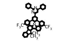 CC1(C)c2ccccc2-c2ccc3c(c21)c1ccccc1n3-c1c(-c2ccc(C(F)(F)F)cc2)cc(-c2cc(-c3ccccc3)nc(-c3ccccc3)n2)cc1-c1ccc(C(F)(F)F)cc1